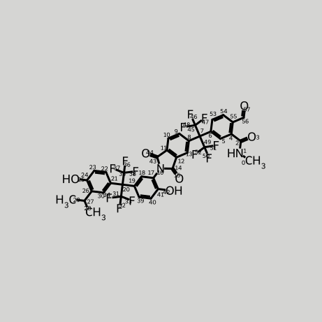 CNC(=O)c1cc(C(c2ccc3c(c2)C(=O)N(c2cc(C(c4ccc(O)c(C(C)C)c4)(C(F)(F)F)C(F)(F)F)ccc2O)C3=O)(C(F)(F)F)C(F)(F)F)ccc1C=O